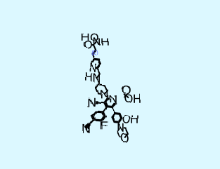 N#Cc1ccc(-c2c(-c3ccc(N4CCOCC4)c(O)c3)cnc(N3CCC(NCc4ccc(/C=C/C(=O)NO)cn4)CC3)c2C#N)cc1F.O=CO